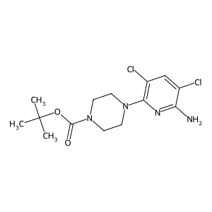 CC(C)(C)OC(=O)N1CCN(c2nc(N)c(Cl)cc2Cl)CC1